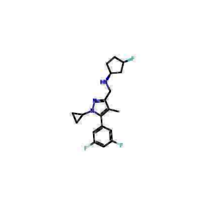 Cc1c(CN[C@H]2CC[C@@H](F)C2)nn(C2CC2)c1-c1cc(F)cc(F)c1